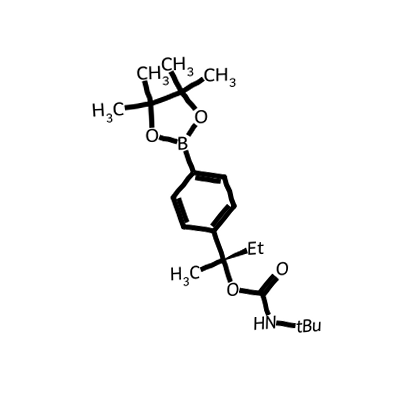 CC[C@](C)(OC(=O)NC(C)(C)C)c1ccc(B2OC(C)(C)C(C)(C)O2)cc1